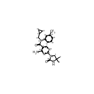 CC1(C)CN(c2ncc(C(=O)N(CC3CC3)c3cccc(C(F)(F)F)c3)c(N)n2)C(=O)N1